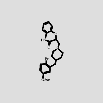 COc1ccc(Br)c(CC2CCN(CC3Oc4ccccc4NC3=O)CC2)c1